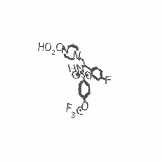 O=C(O)N1CCN(C[C@H](NS(=O)(=O)c2ccc(OC(F)(F)F)cc2)c2ccc(F)cc2)CC1